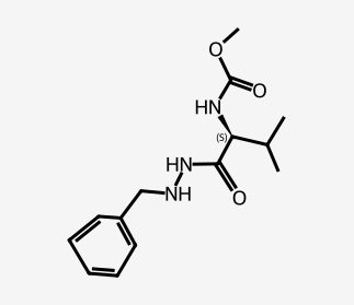 COC(=O)N[C@H](C(=O)NNCc1ccccc1)C(C)C